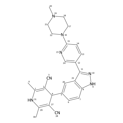 CC1=C(C#N)C(c2ccc3[nH]nc(-c4ccc(N5CCN(C)CC5)nc4)c3c2)C(C#N)=C(C)N1